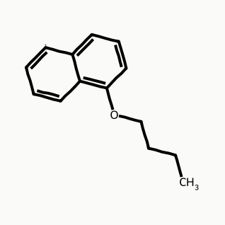 CCCCOc1cccc2[c]cccc12